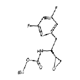 CC(C)(C)OC(=O)NC(Cc1cc(F)cc(F)c1)[C@H]1CO1